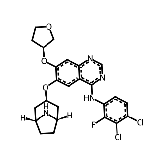 Fc1c(Nc2ncnc3cc(O[C@H]4CCOC4)c(O[C@@H]4C[C@H]5CC[C@@H](C4)N5)cc23)ccc(Cl)c1Cl